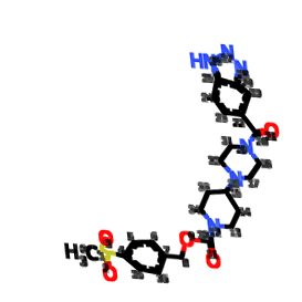 CS(=O)(=O)c1ccc(COC(=O)N2CCC(N3CCN(C(=O)c4ccc5[nH]nnc5c4)CC3)CC2)cc1